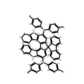 Cc1ccc(N(c2ccc(C)cc2)c2cc3c(c4c5c(sc24)CCC=C5)-c2c(cc(N(c4ccc(C)cc4)c4ccc(C)cc4)c4sc5ccccc5c24)C32c3ccccc3-c3ccccc32)cc1